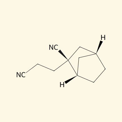 N#CCC[C@]1(C#N)C[C@@H]2CC[C@H]1C2